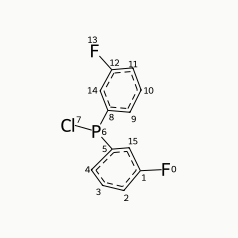 Fc1cccc(P(Cl)c2cccc(F)c2)c1